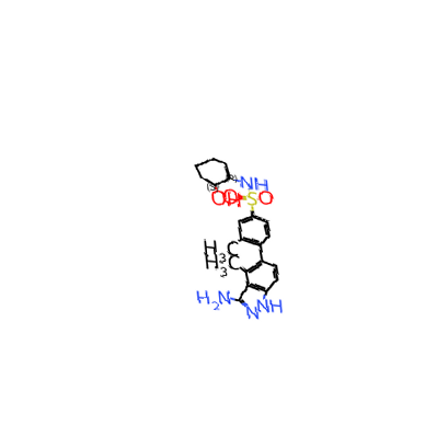 Cc1cc(S(=O)(=O)N[C@@H]2CCCC[C@@H]2O)ccc1-c1ccc2[nH]nc(N)c2c1C